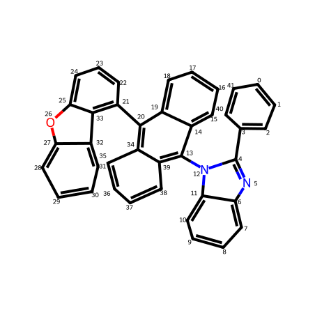 c1ccc(-c2nc3ccccc3n2-c2c3ccccc3c(-c3cccc4oc5ccccc5c34)c3ccccc23)cc1